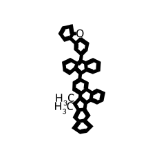 CC1(C)c2cc3ccccc3cc2-c2c1c1ccc(-c3c4ccccc4c(-c4ccc5oc6ccccc6c5c4)c4ccccc34)cc1c1ccccc21